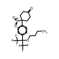 CCCCOC(c1ccc(C2([SH](=O)=O)CCC(=O)CC2)cc1)(C(F)(F)F)C(F)(F)F